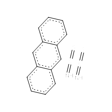 N=C=S.N=C=S.c1ccc2cc3ccccc3cc2c1